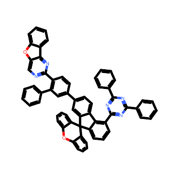 c1ccc(-c2nc(-c3ccccc3)nc(-c3cccc4c3-c3ccc(-c5ccc(-c6ncc7oc8ccccc8c7n6)c(-c6ccccc6)c5)cc3C43c4ccccc4Oc4ccccc43)n2)cc1